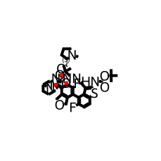 CN1CCC[C@H]1COc1nc(N2C3CC2CN(C(=O)OC(C)(C)C)C3)c2c3c(c(-c4c(F)ccc5sc(NC(=O)OC(C)(C)C)c(C#N)c45)c(F)c2n1)COC3